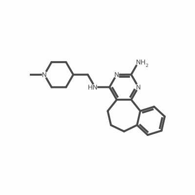 CN1CCC(CNc2nc(N)nc3c2CCCc2ccccc2-3)CC1